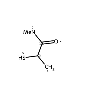 CNC(=O)C(C)S